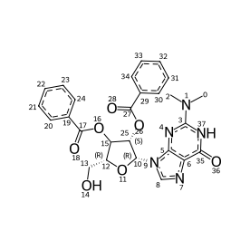 CN(C)c1nc2c(ncn2[C@@H]2O[C@H](CO)C(OC(=O)c3ccccc3)[C@@H]2OC(=O)c2ccccc2)c(=O)[nH]1